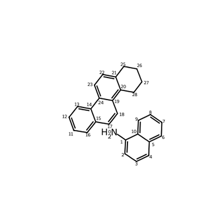 Nc1cccc2ccccc12.c1ccc2c(c1)ccc1c3c(ccc12)CCCC3